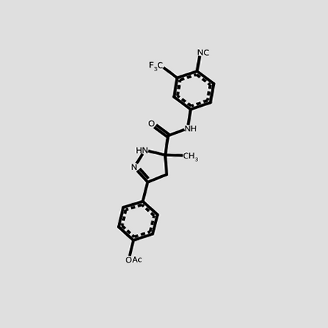 [C-]#[N+]c1ccc(NC(=O)C2(C)CC(c3ccc(OC(C)=O)cc3)=NN2)cc1C(F)(F)F